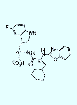 O=C(O)C[C@H](CC1CNc2ccc(F)cc21)NC(=O)[C@H](CC1CCCCC1)Nc1nc2ccccc2o1